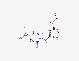 CCOc1cccc(Oc2ncc([N+](=O)[O-])cc2C)c1